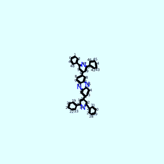 c1ccc(-c2cc(-c3ccc4nc5cc(-c6cc(-c7ccccc7)nc(-c7ccccc7)c6)ccc5nc4c3)cc(-c3ccccc3)n2)cc1